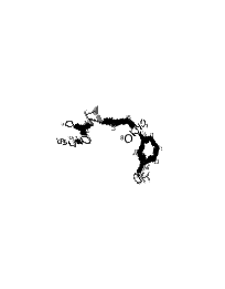 CC(C)(C)OC(=O)NCCS(=O)(=O)c1cccc(O)c1